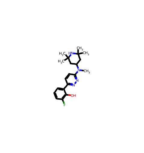 CN(c1ccc(-c2cccc(F)c2O)nn1)C1CC(C)(C)NC(C)(C)C1